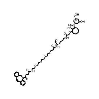 O=C[C@@H](CCCCNC(=O)COC1CCCCCC2=C1NNN2[C@@H]1C[C@@H](O)C[C@@H](CO)O1)NC(=O)CCOCCOCCOCCOCCNC(=O)CCC(=O)N1Cc2ccccc2C#Cc2ccccc21